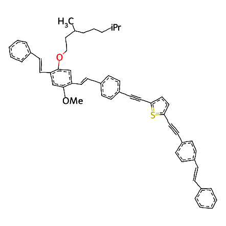 COc1cc(C=Cc2ccccc2)c(OCCC(C)CCCC(C)C)cc1C=Cc1ccc(C#Cc2ccc(C#Cc3ccc(C=Cc4ccccc4)cc3)s2)cc1